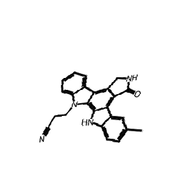 Cc1ccc2[nH]c3c(c4c(c5c6ccccc6n(CCC#N)c35)CNC4=O)c2c1